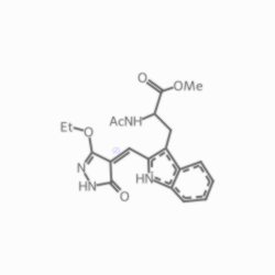 CCOC1=NNC(=O)/C1=C\c1[nH]c2ccccc2c1CC(NC(C)=O)C(=O)OC